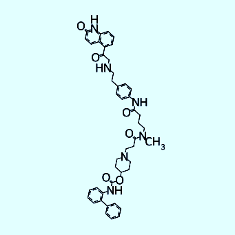 CN(CCCC(=O)Nc1ccc(CCNCC(=O)c2cccc3[nH]c(=O)ccc23)cc1)C(=O)CCN1CCC(OC(=O)Nc2ccccc2-c2ccccc2)CC1